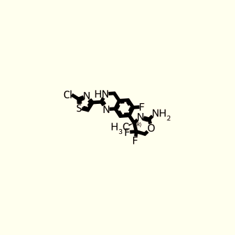 C[C@]1(c2cc3c(cc2F)CNC(c2csc(Cl)n2)=N3)N=C(N)OCC1(F)F